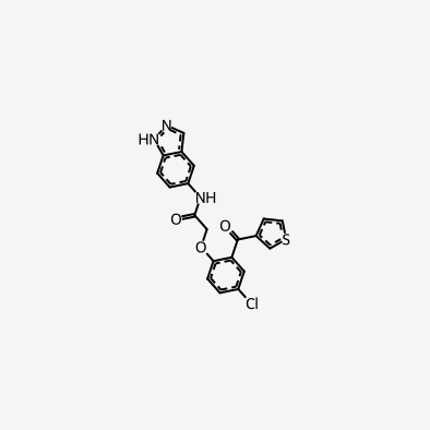 O=C(COc1ccc(Cl)cc1C(=O)c1ccsc1)Nc1ccc2[nH]ncc2c1